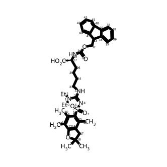 CCN(CC)/C(=N\S(=O)(=O)c1c(C)c(C)c2c(c1C)CC(C)(C)O2)NCCCC[C@H](NC(=O)OCC1c2ccccc2-c2ccccc21)C(=O)O